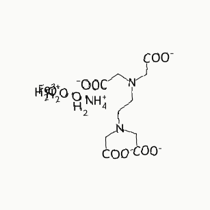 O.O.O.O=C([O-])CN(CCN(CC(=O)[O-])CC(=O)[O-])CC(=O)[O-].[Fe+3].[NH4+]